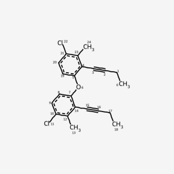 CCC#Cc1c(Oc2ccc(Cl)c(C)c2C#CCC)ccc(Cl)c1C